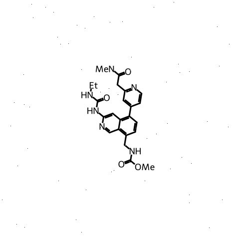 CCNC(=O)Nc1cc2c(-c3ccnc(CC(=O)NC)c3)ccc(CNC(=O)OC)c2cn1